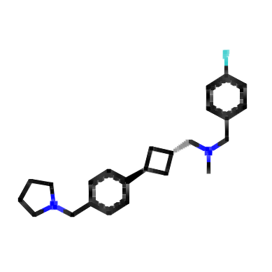 CN(Cc1ccc(F)cc1)C[C@H]1C[C@H](c2ccc(CN3CCCC3)cc2)C1